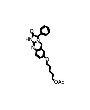 CC(=O)OCCCCCOc1ccc2c(c1)CN1C(=N2)NC(=O)C1c1ccccc1